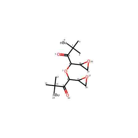 CCCCC(C)(C)C(=O)C(OC(C(=O)C(C)(C)CCCC)C1CO1)C1CO1